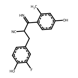 Cc1cc(O)ccc1C(=N)C(C#N)Cc1ccc(O)c(F)c1